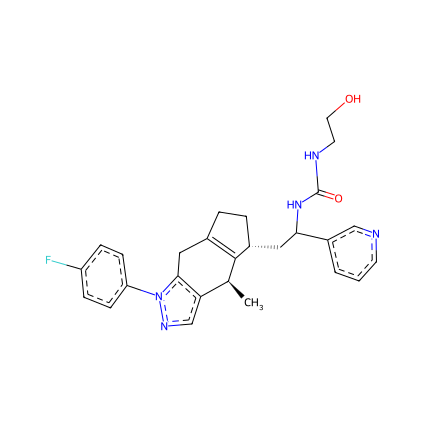 C[C@@H]1C2=C(CC[C@@H]2CC(NC(=O)NCCO)c2cccnc2)Cc2c1cnn2-c1ccc(F)cc1